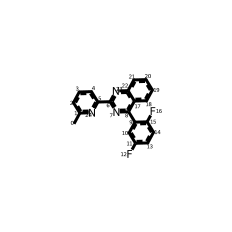 Cc1cccc(-c2nc(-c3cc(F)ccc3F)c3ccccc3n2)n1